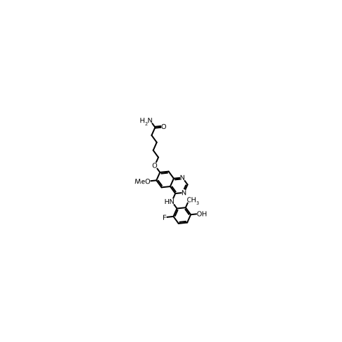 COc1cc2c(Nc3c(F)ccc(O)c3C)ncnc2cc1OCCCCC(N)=O